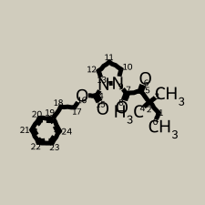 CCC(C)(C)C(=O)C(=O)N1CCCN1C(=O)OCCc1ccccc1